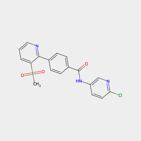 CS(=O)(=O)c1cccnc1-c1ccc(C(=O)Nc2ccc(Cl)nc2)cc1